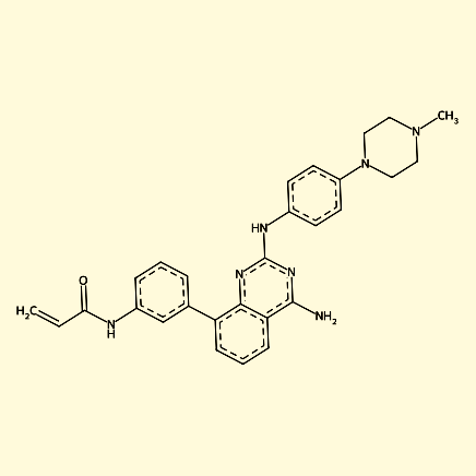 C=CC(=O)Nc1cccc(-c2cccc3c(N)nc(Nc4ccc(N5CCN(C)CC5)cc4)nc23)c1